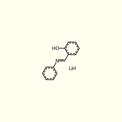 Oc1ccccc1C=Nc1ccccc1.[LiH]